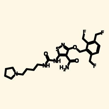 NC(=O)c1c(OCc2c(CF)ccc(CF)c2CF)nsc1NC(=O)NCCCCN1CCCC1